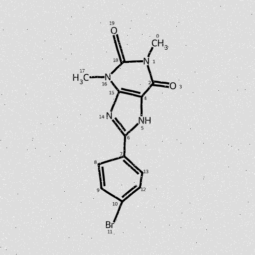 Cn1c(=O)c2[nH]c(-c3ccc(Br)cc3)nc2n(C)c1=O